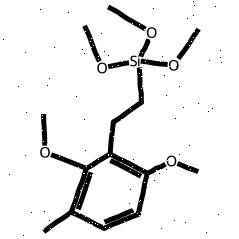 COc1ccc(C)c(OC)c1CC[Si](OC)(OC)OC